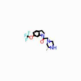 C[C@@H]1CN(CC(=O)N2CCc3ccc(OC(F)(F)F)cc32)CCN1